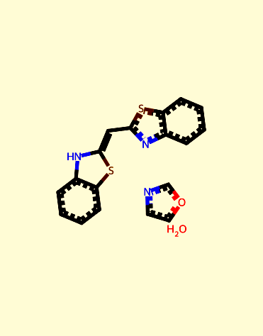 C(=C1Nc2ccccc2S1)c1nc2ccccc2s1.O.c1cocn1